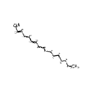 CCCCCCCCC=CC=CC=CC=CO